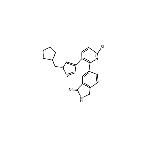 O=C1NCc2ccc(-c3nc(Cl)ccc3-c3cnn(CC4CCCC4)c3)cc21